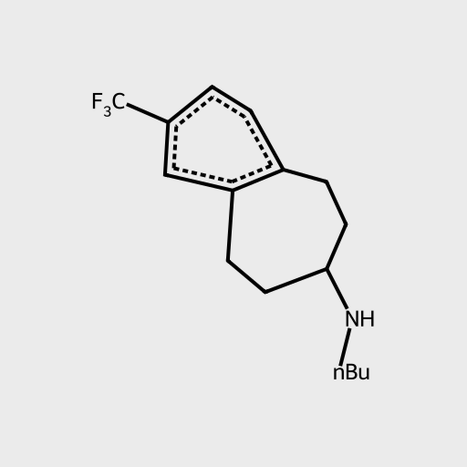 CCCCNC1CCc2ccc(C(F)(F)F)cc2CC1